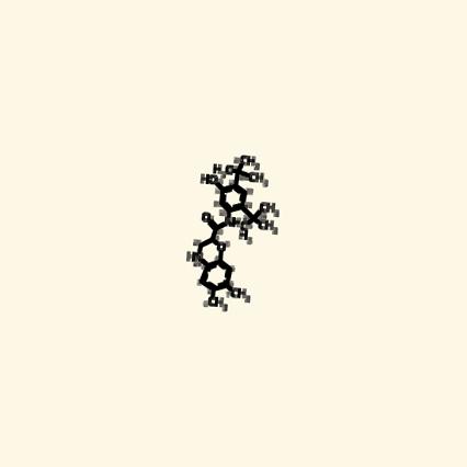 Cc1cc2c(cc1C)OC(C(=O)Nc1cc(O)c(C(C)(C)C)cc1C(C)(C)C)CN2